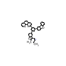 C=C/C=C\c1c(C)oc2ccc(-c3cc(-c4ccc5oc6ccccc6c5c4)cc(-c4ccc5ccc6cccnc6c5n4)c3)cc12